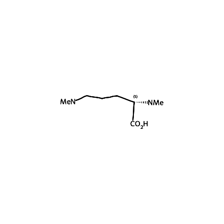 CNCCC[C@H](NC)C(=O)O